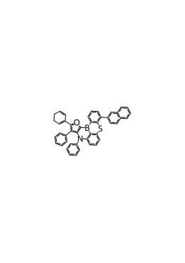 C1=CC(c2oc3c(c2-c2ccccc2)N(c2ccccc2)c2cccc4c2B3c2cccc(-c3ccc5ccccc5c3)c2S4)=CCC1